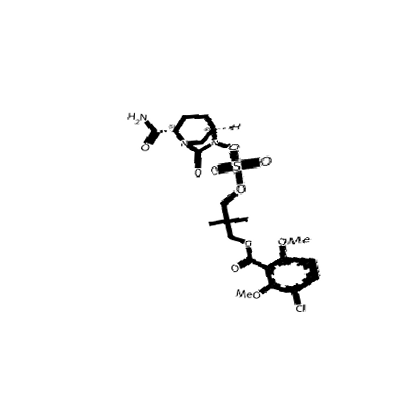 COc1ccc(Cl)c(OC)c1C(=O)OCC(C)(C)COS(=O)(=O)ON1C(=O)N2C[C@H]1CC[C@H]2C(N)=O